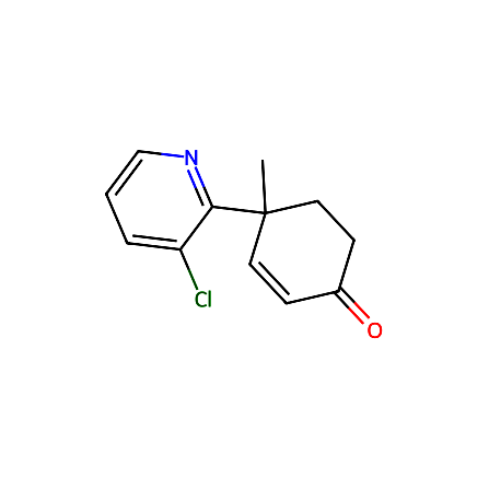 CC1(c2ncccc2Cl)C=CC(=O)CC1